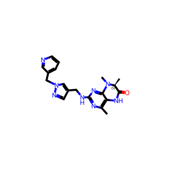 Cc1nc(NCc2cnn(Cc3cccnc3)c2)nc2c1NC(=O)[C@H](C)N2C